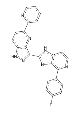 Fc1ccc(-c2nccc3[nH]c(-c4n[nH]c5ccc(-c6ccccn6)nc45)nc23)cc1